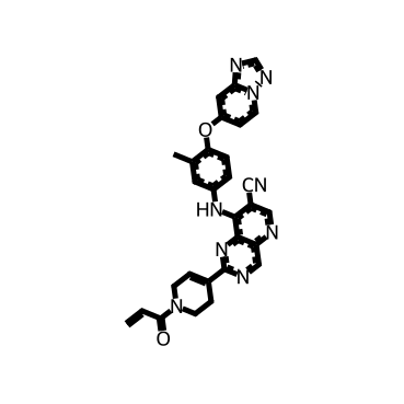 C=CC(=O)N1CC=C(c2ncc3ncc(C#N)c(Nc4ccc(Oc5ccn6ncnc6c5)c(C)c4)c3n2)CC1